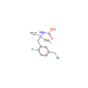 CC(C)(Cc1cc(CBr)ccc1F)NC(=O)O